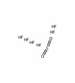 F.F.F.F.F.F.O=C=O